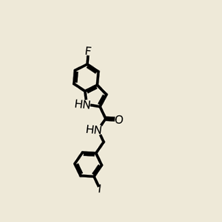 O=C(NCc1cccc(I)c1)c1cc2cc(F)ccc2[nH]1